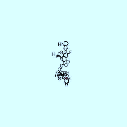 COc1c(N2CC3CCCNC3C2)c(F)cc2c(=O)c(C(=O)OCOC(=O)OC(Cc3cccnc3)(P(=O)(O)O)P(=O)(O)O)cn(C3CC3)c12